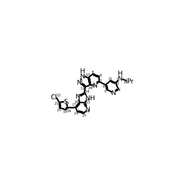 CC(C)Nc1cncc(-c2ccc3[nH]nc(-c4nc5c(-c6ccc(Cl)s6)ccnc5[nH]4)c3n2)c1